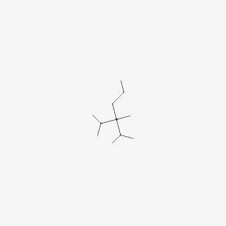 CCCC(N)(C(C)C)C(C)C